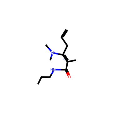 C=CC/C(=C(\C)C(=O)NCCC)N(C)C